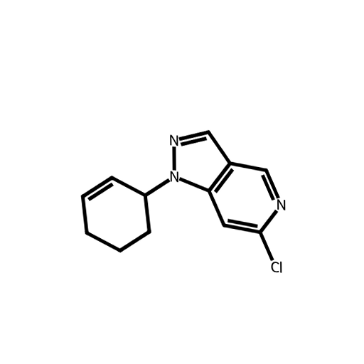 Clc1cc2c(cn1)cnn2C1C=CCCC1